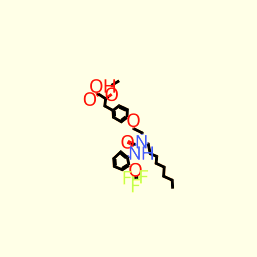 CCCCCCCCN(CCOc1ccc(CC(OCC)C(=O)O)cc1)C(=O)Nc1ccccc1OC(F)(F)F